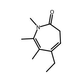 CCC1=CCC(=O)N(C)C(C)=C1C